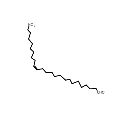 O=[C]CCCCCCCCCCCCC/C=C\CCCCCCCC[N+](=O)[O-]